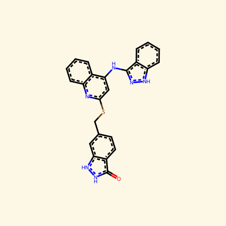 O=c1[nH][nH]c2cc(CSc3cc(Nc4n[nH]c5ccccc45)c4ccccc4n3)ccc12